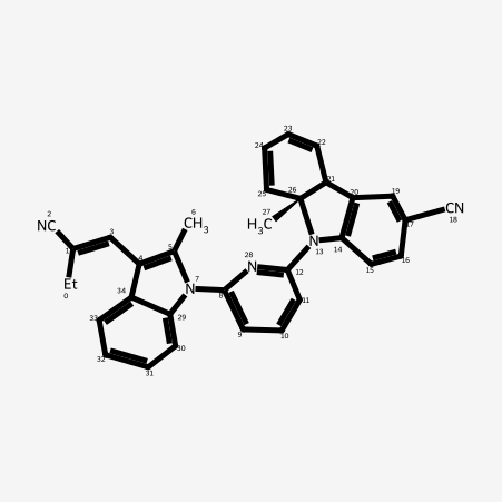 CC/C(C#N)=C\c1c(C)n(-c2cccc(N3c4ccc(C#N)cc4C4C=CC=C[C@]43C)n2)c2ccccc12